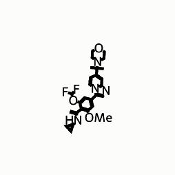 C=C(NC1CC1)c1c(OC)cc(-c2cnc3cc(C(C)(C)N4CCOCC4)ccn23)cc1OC(F)F